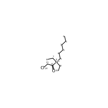 CCCCCC[N+](CC)(CC)C(=O)CCl